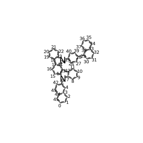 c1ccc2cc(-n3c4ccccc4c4c3ccc3c5ccccc5n(-c5ccc(-c6cccc7ccccc67)cc5)c34)ccc2c1